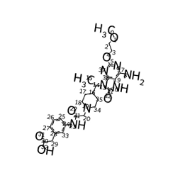 COCCOc1nc(N)c2[nH]c(=O)n(C(C)C3CCN(CC(=O)Nc4cccc(CC(=O)O)c4)CC3)c2n1